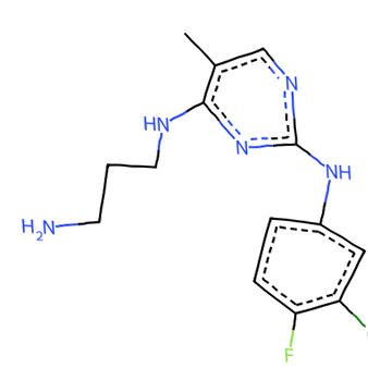 Cc1cnc(Nc2ccc(F)c(Cl)c2)nc1NCCCN